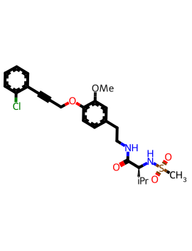 COc1cc(CCNC(=O)[C@@H](NS(C)(=O)=O)C(C)C)ccc1OCC#Cc1ccccc1Cl